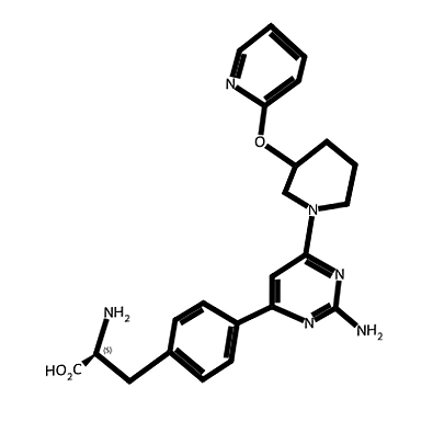 Nc1nc(-c2ccc(C[C@H](N)C(=O)O)cc2)cc(N2CCCC(Oc3ccccn3)C2)n1